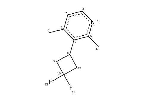 Cc1ccnc(C)c1C1CC(F)(F)C1